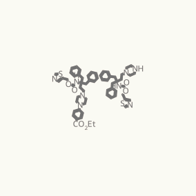 CCOC(=O)c1ccc(N2CCN(CCC(Cc3ccccc3)(Cc3ccccc3)NC(=O)OCc3cncs3)CC2)cc1.O=C(NC(CCN1CCNCC1)(Cc1ccccc1)Cc1ccccc1)OCc1cncs1